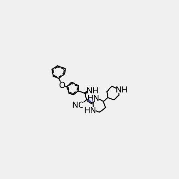 N#C/C(C(=N)c1ccc(Oc2ccccc2)cc1)=C1\NCCC(C2CCNCC2)N1